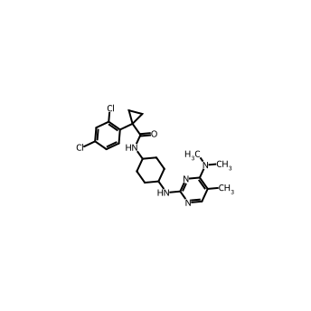 Cc1cnc(NC2CCC(NC(=O)C3(c4ccc(Cl)cc4Cl)CC3)CC2)nc1N(C)C